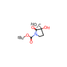 CC(C)(C)OC(=O)N1CCC(O)(C(=O)O)C1=O